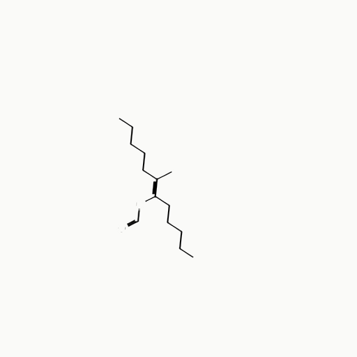 CCCCC/C(C)=C(/CCCCC)OC=O